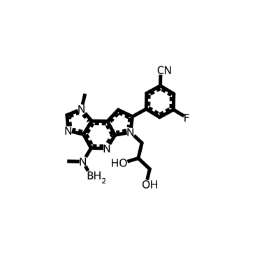 BN(C)c1nc2c(cc(-c3cc(F)cc(C#N)c3)n2CC(O)CO)c2c1ncn2C